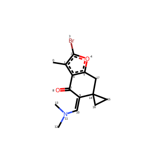 Cc1c(Br)oc2c1C(=O)C(=CN(C)C)C1(CC1)C2